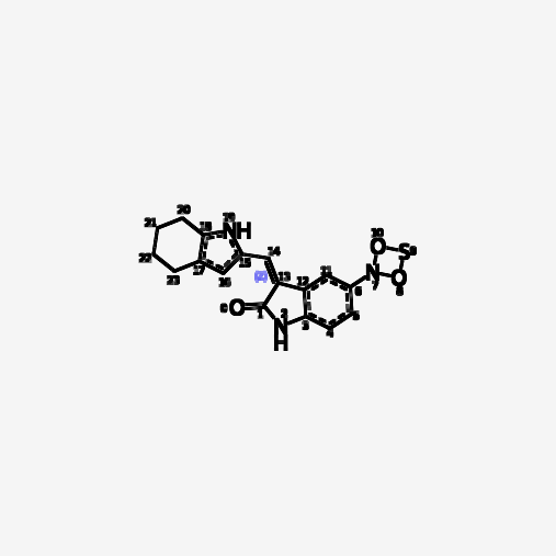 O=C1Nc2ccc(N3OSO3)cc2/C1=C/c1cc2c([nH]1)CCCC2